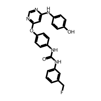 O=C(Nc1ccc(Oc2cc(Nc3ccc(O)cc3)ncn2)cc1)Nc1cccc(CF)c1